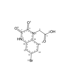 O=C(O)Cn1c(=O)c(=O)[nH]c2cc(Br)ccc21